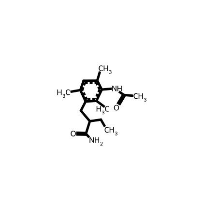 CCC(Cc1c(C)cc(C)c(NC(C)=O)c1C)C(N)=O